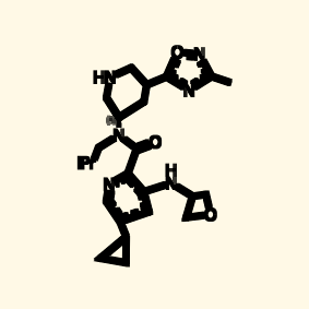 Cc1noc(C2CNC[C@@H](N(CC(C)C)C(=O)c3ncc(C4CC4)cc3NC3COC3)C2)n1